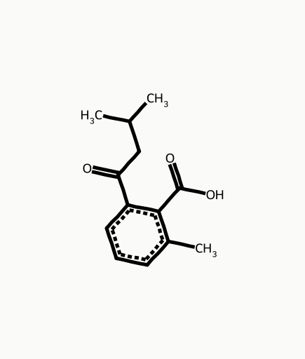 Cc1cccc(C(=O)CC(C)C)c1C(=O)O